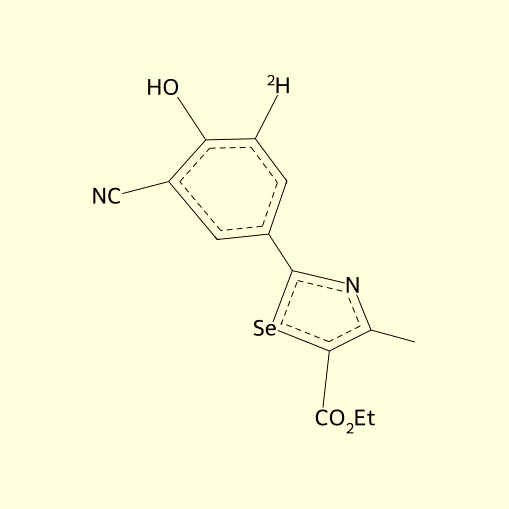 [2H]c1cc(-c2nc(C)c(C(=O)OCC)[se]2)cc(C#N)c1O